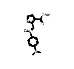 COC(=O)c1ccsc1C=[N+]([O-])c1ccc(N(C)C)cc1